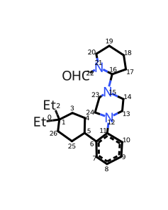 CCC1(CC)CCC(c2ccccc2N2CCN(C3CCCCN3C=O)CC2)CC1